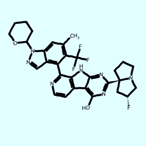 Cc1cc2c(cnn2C2CCCCO2)c(-c2nccc3c2[nH]c2nc([C@@]45CCCN4C[C@H](F)C5)nc(O)c23)c1C(F)(F)F